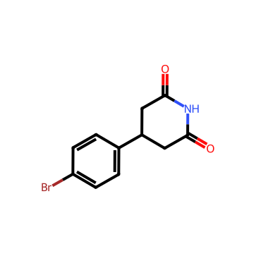 O=C1CC(c2ccc(Br)cc2)CC(=O)N1